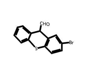 O=CC1c2ccccc2Sc2ccc(Br)cc21